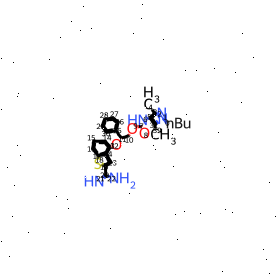 CCCCn1nc(C)c(NC(=O)OCC(Oc2cccc3sc(C(=N)N)cc23)c2ccccc2)c1C